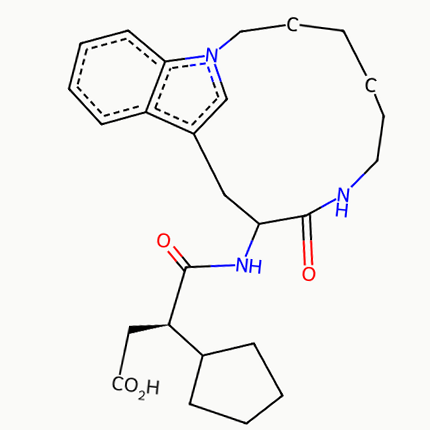 O=C(O)C[C@@H](C(=O)NC1Cc2cn(c3ccccc23)CCCCCCNC1=O)C1CCCC1